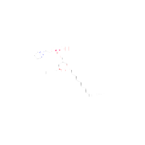 CCCCCCCCCCCCCCCCCCOCC(COP(O)OCCN1CCCC1)CC(=O)CCC